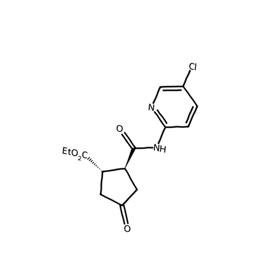 CCOC(=O)[C@H]1CC(=O)C[C@@H]1C(=O)Nc1ccc(Cl)cn1